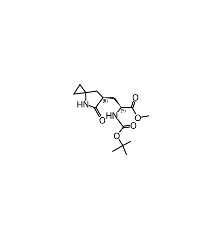 COC(=O)[C@H](C[C@@H]1CC2(CC2)NC1=O)NC(=O)OC(C)(C)C